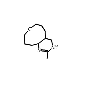 CC1=NC2CCCCCCCC2CN1